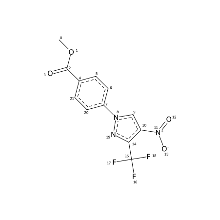 COC(=O)c1ccc(-n2cc([N+](=O)[O-])c(C(F)(F)F)n2)cc1